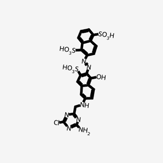 Nc1nc(Cl)nc(CNc2ccc3c(O)c(N=Nc4ccc5c(S(=O)(=O)O)cccc5c4S(=O)(=O)O)c(S(=O)(=O)O)cc3c2)n1